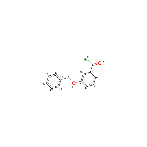 O=C(Br)c1cccc(OCc2ccccc2)c1